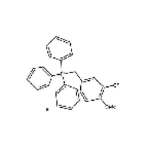 COc1ccc(C[P+](c2ccccc2)(c2ccccc2)c2ccccc2)cc1C(F)(F)F.[Br-]